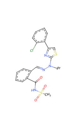 CC(C)N(N=Cc1ccccc1C(=O)NS(C)(=O)=O)c1nc(-c2ccccc2Cl)cs1